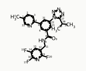 Cc1ccc(-c2cc(C(=O)NCc3cc(F)c(F)nc3F)cc(-n3nnnc3C(C)C)c2)nc1